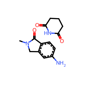 CN1Cc2cc(N)ccc2C1=O.O=C1CCCC(=O)N1